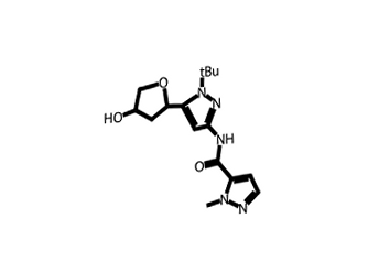 Cn1nccc1C(=O)Nc1cc(C2CC(O)CO2)n(C(C)(C)C)n1